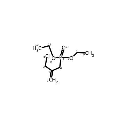 C=C(CCl)CP(=O)(OCC)OCC